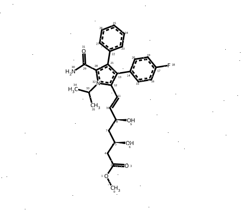 COC(=O)C[C@H](O)C[C@H](O)C=Cc1c(-c2ccc(F)cc2)c(-c2ccccc2)c(C(N)=O)n1C(C)C